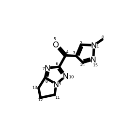 Cn1cc(C(=O)c2nc3n(n2)CCC3)cn1